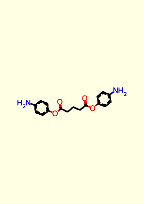 Nc1ccc(OC(=O)CCCC(=O)Oc2ccc(N)cc2)cc1